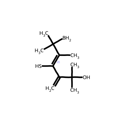 BC(C)(C)/C(C)=C(\S)C(=C)C(C)(C)O